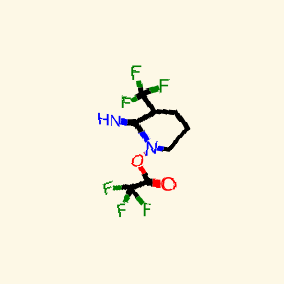 N=C1C(C(F)(F)F)CCCN1OC(=O)C(F)(F)F